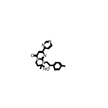 Cc1ccc([C@H](O)CN2c3nc(-c4ccncn4)cc(=O)n3CCC2(C)C)cc1